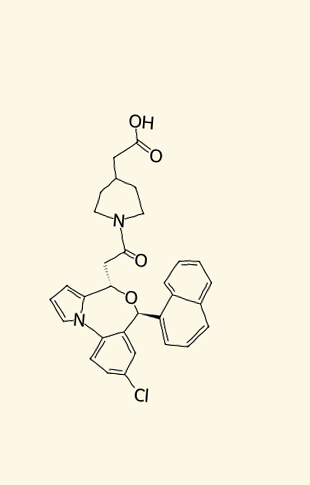 O=C(O)CC1CCN(C(=O)C[C@@H]2O[C@@H](c3cccc4ccccc34)c3cc(Cl)ccc3-n3cccc32)CC1